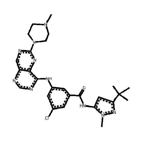 CN1CCN(c2ncc3ncnc(Nc4cc(Cl)cc(C(=O)Nc5cc(C(C)(C)C)nn5C)c4)c3n2)CC1